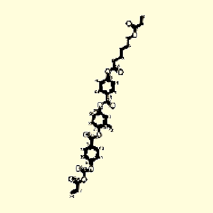 C=CC(=O)OCCCCCC(=O)Oc1ccc(C(=O)Oc2ccc(OC(=O)c3ccc(OC(=O)OC(=O)C=C)cc3)c(C)c2)cc1